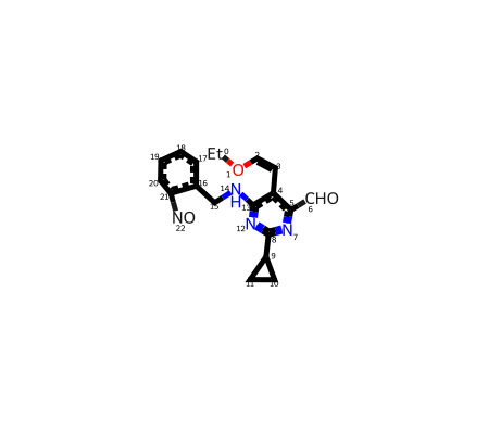 CCO/C=C\c1c(C=O)nc(C2CC2)nc1NCc1ccccc1N=O